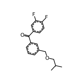 C[C](C)COCc1cccc(C(=O)c2ccc(F)c(F)c2)c1